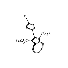 CCOC(=O)c1c2cccccc-2c(C(=O)OCC)c1-c1ccc(F)cc1